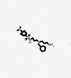 CN(C)c1ccc(S(=O)(=O)NCCCN(CCCN)CC2CCCCC2)cc1